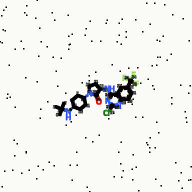 CC(C)(C)N[C@H]1CC[C@@H](N2CCC(Nc3nc(Cl)nc4ccc(C(F)(F)F)cc34)C2=O)CC1